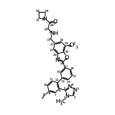 Cn1cnnc1-c1cc(F)ccc1-c1cccc(-c2nc3cc(CNCC(=O)N4CCC4)cc(C(F)(F)F)c3o2)c1